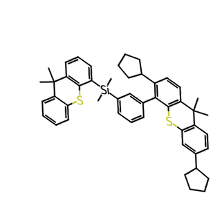 CC1(C)c2ccccc2Sc2c1cccc2[Si](C)(C)c1cccc(-c2c(C3CCCC3)ccc3c2Sc2cc(C4CCCC4)ccc2C3(C)C)c1